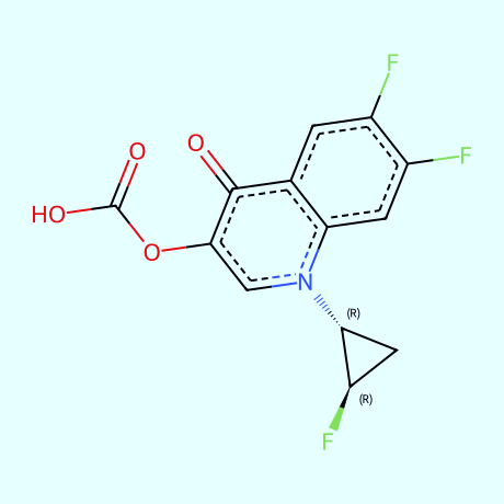 O=C(O)Oc1cn([C@@H]2C[C@H]2F)c2cc(F)c(F)cc2c1=O